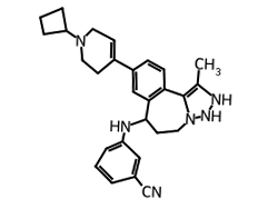 CC1=C2c3ccc(C4=CCN(C5CCC5)CC4)cc3C(Nc3cccc(C#N)c3)CCN2NN1